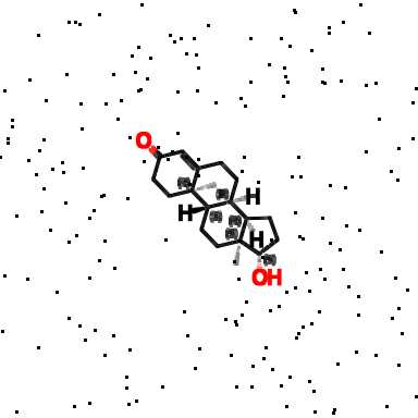 C[C@]12CC[C@H]3[C@@H](CCC4=CC(=O)CC[C@@]43C)[C@H]1CC[C@@H]2O